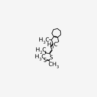 C=C(C)/C(=C\C=C\C(C)C1=C(CC)CCCCC1)SC(C)=S